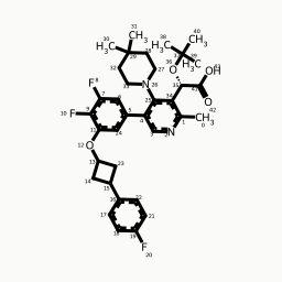 Cc1ncc(-c2cc(F)c(F)c(OC3CC(c4ccc(F)cc4)C3)c2)c(N2CCC(C)(C)CC2)c1[C@H](OC(C)(C)C)C(=O)O